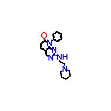 O=c1ccc2cnc(NCCN3CCCCC3)nc2n1-c1ccccc1